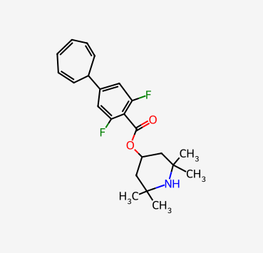 CC1(C)CC(OC(=O)c2c(F)cc(C3C=CC=CC=C3)cc2F)CC(C)(C)N1